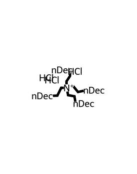 CCCCCCCCCCCC[N+](CCCCCCCCCCCC)(CCCCCCCCCCCC)CCCCCCCCCCCC.Cl.Cl.Cl